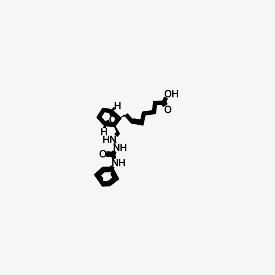 O=C(O)CCC/C=C\C[C@@H]1[C@@H](CNNC(=O)Nc2ccccc2)[C@@H]2CC[C@H]1O2